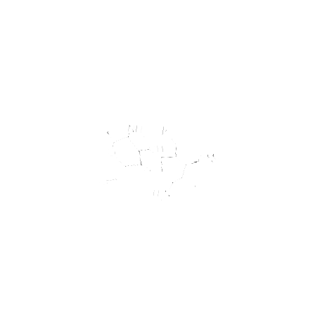 CO[C@@H]1C(CO)C[C@@H](O[C@H]2C(O)C(N)[C@H](C)O[C@H]2CO)C(N)[C@H]1O